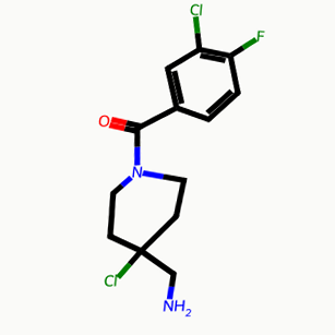 NCC1(Cl)CCN(C(=O)c2ccc(F)c(Cl)c2)CC1